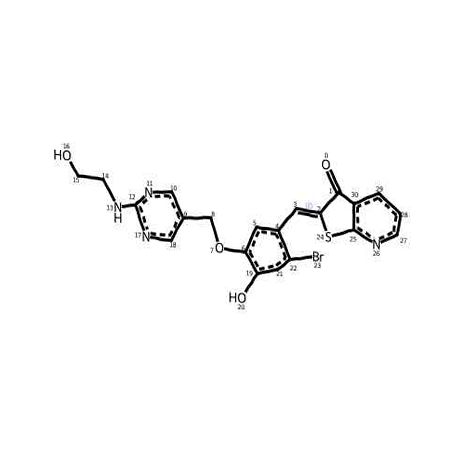 O=C1/C(=C/c2cc(OCc3cnc(NCCO)nc3)c(O)cc2Br)Sc2ncccc21